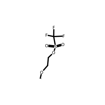 [CH2]OCCOS(=O)(=O)C(F)(F)F